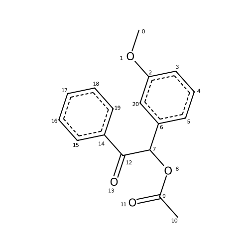 COc1cccc(C(OC(C)=O)C(=O)c2ccccc2)c1